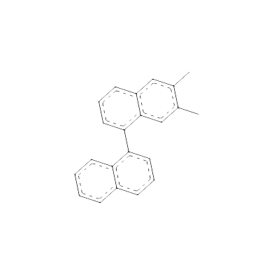 Cc1cc2cccc(-c3cccc4ccccc34)c2cc1C